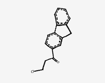 O=C(CCCl)c1ccc2c(c1)Cc1ccccc1-2